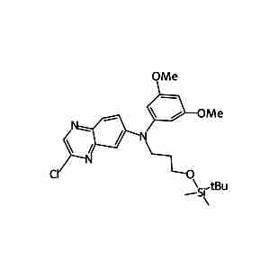 COc1cc(OC)cc(N(CCCO[Si](C)(C)C(C)(C)C)c2ccc3ncc(Cl)nc3c2)c1